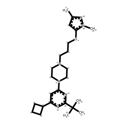 Cc1cc(OCCCN2CCN(c3cc(C4CCC4)nc(C(C)(C)C)n3)CC2)n(C)n1